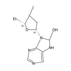 CC[C@H]1O[C@@H](N2c3ncncc3NC2O)CC1I